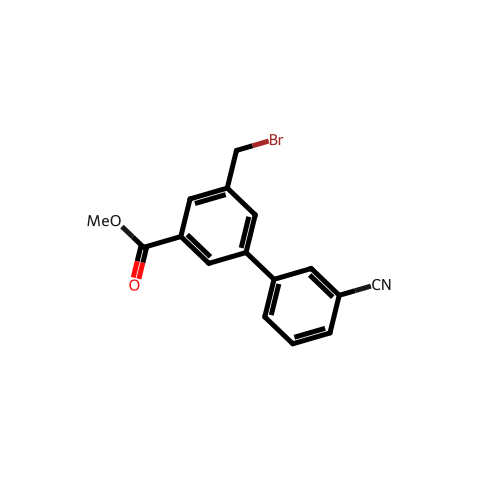 COC(=O)c1cc(CBr)cc(-c2cccc(C#N)c2)c1